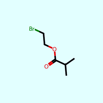 C[C](C)C(=O)OCCBr